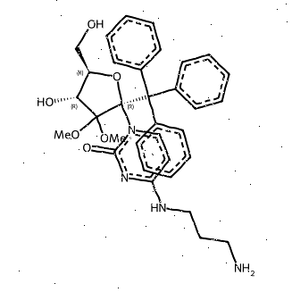 COC1(OC)[C@H](O)[C@@H](CO)O[C@]1(n1ccc(NCCCN)nc1=O)C(c1ccccc1)(c1ccccc1)c1ccccc1